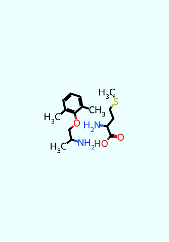 CSCCC(N)C(=O)O.Cc1cccc(C)c1OCC(C)N